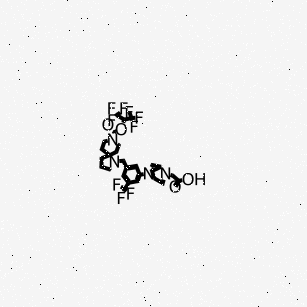 O=C(O)CN1CC2CC1CN2c1cc(CN2CCCC23CCN(C(=O)OC(C(F)(F)F)C(F)(F)F)CC3)cc(C(F)(F)F)c1